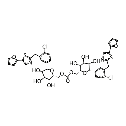 O=C(OC[C@H]1O[C@@H](c2ccc(Cl)c(Cc3ncc(-c4ccco4)s3)c2)[C@H](O)[C@H](O)[C@H]1O)OC[C@H]1O[C@@H](c2ccc(Cl)c(Cc3ncc(-c4ccco4)s3)c2)[C@H](O)[C@H](O)[C@H]1O